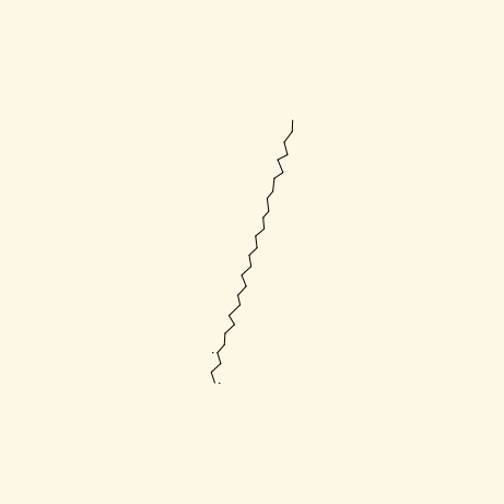 [CH2]CC[CH]CCCCCCCCCCCCCCCCCCCCCCCC